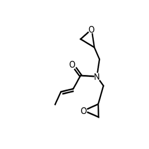 C/C=C/C(=O)N(CC1CO1)CC1CO1